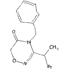 CC(C)C(C)C1=NOCC(=O)N1Cc1ccccc1